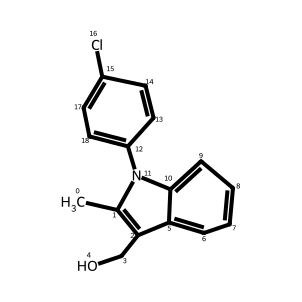 Cc1c(CO)c2ccccc2n1-c1ccc(Cl)cc1